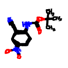 CC(C)(C)OC(=O)Nc1ccc([N+](=O)[O-])cc1C#N